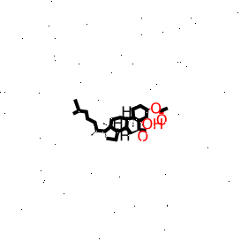 CC(=O)O[C@H]1CC[C@]2(C)[C@H]3CC[C@]4(C)[C@@H]([C@H](C)CCCC(C)C)CC[C@H]4[C@@H]3C[C@]3(CO3)[C@@]2(O)C1